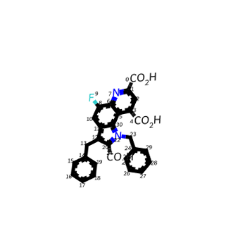 O=C(O)c1cc(C(=O)O)c2c(n1)c(F)cc1c(Cc3ccccc3)c(C(=O)O)n(Cc3ccccc3)c12